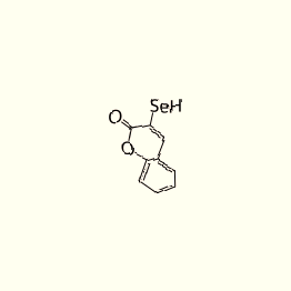 O=c1oc2ccccc2cc1[SeH]